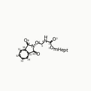 CCCCCCCOC(=O)NCON1C(=O)c2ccccc2C1=O